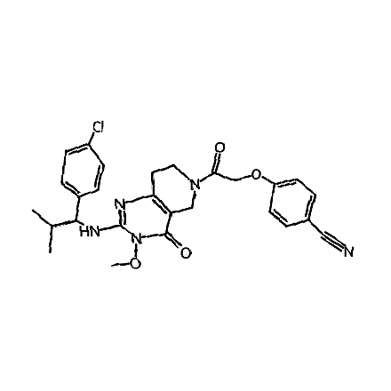 COn1c(NC(c2ccc(Cl)cc2)C(C)C)nc2c(c1=O)CN(C(=O)COc1ccc(C#N)cc1)CC2